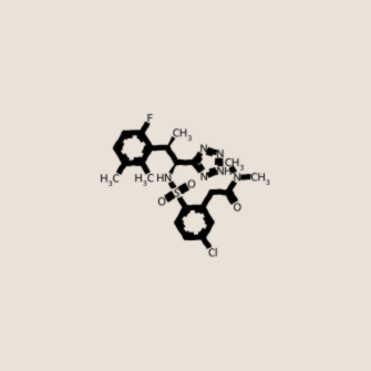 Cc1ccc(F)c([C@@H](C)[C@H](NS(=O)(=O)c2ccc(Cl)cc2CC(=O)N(C)C)c2nn[nH]n2)c1C